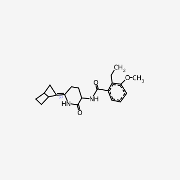 CCc1c(OC)cccc1C(=O)NC1CC/C(=C2\CC3CCC23)NC1=O